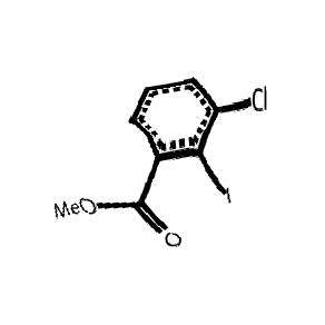 COC(=O)c1cccc(Cl)c1I